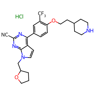 Cl.N#Cc1nc(-c2ccc(OCCC3CCNCC3)c(C(F)(F)F)c2)c2ccn(CC3CCCO3)c2n1